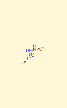 CCOCCNC1NCN(NCCOCC)S1